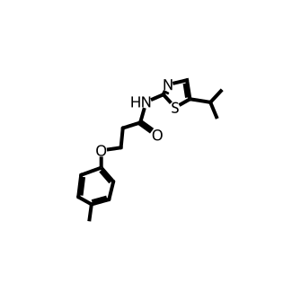 Cc1ccc(OCCC(=O)Nc2ncc(C(C)C)s2)cc1